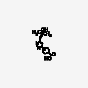 CC(C)(O)C#Cc1cc(N2CCC(C(=O)O)CC2)ncn1